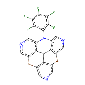 Fc1c(F)c(F)c(N2c3cncc4c3B3c5c(cncc5Sc5cncc2c53)S4)c(F)c1F